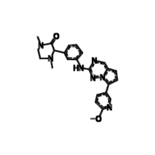 COc1ccc(-c2ccc3cnc(Nc4cccc(C5C(=O)N(C)CCN5C)c4)nn23)cn1